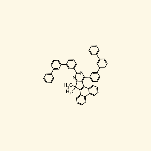 CC1(C)c2nc(-c3cccc(-c4cccc(-c5ccccc5)c4)c3)nc(-c3cccc(-c4cccc(-c5ccccc5)c4)c3)c2-c2c1c1ccccc1c1ccccc21